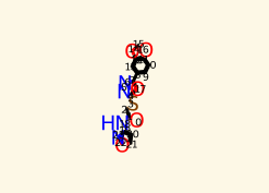 O=C(CSc1nnc(-c2ccc3c(c2)OCO3)o1)Nc1ccon1